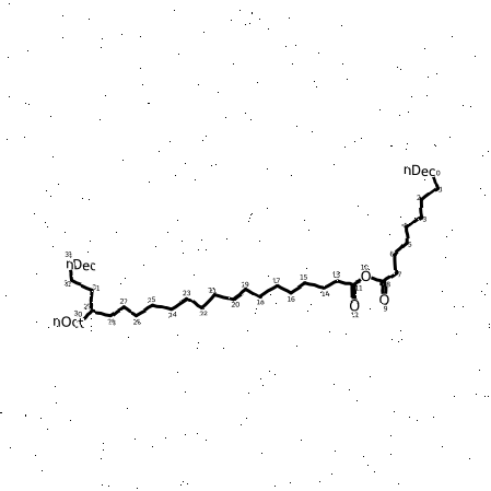 CCCCCCCCCCCCCCCCCC(=O)OC(=O)CCCCCCCCCCCCCCCCC(CCCCCCCC)CCCCCCCCCCCC